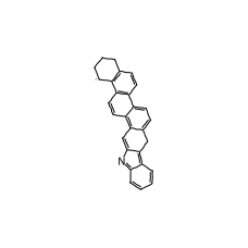 [CH]1CCCc2ccc3c(ccc4c5c(ccc43)CC3=c4ccccc4=NC3=C5)c21